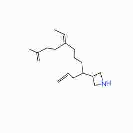 C=CCC(CCC/C(=C/C)CCC(=C)C)C1CNC1